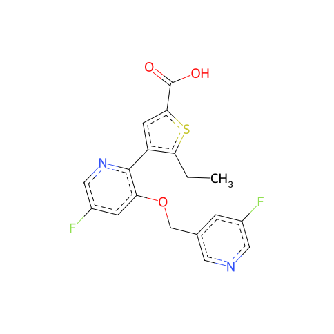 CCc1sc(C(=O)O)cc1-c1ncc(F)cc1OCc1cncc(F)c1